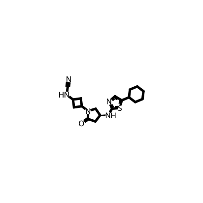 N#CNC1CC(N2C[C@@H](Nc3ncc(C4CCCCC4)s3)CC2=O)C1